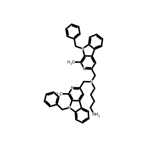 Cc1nc(CN(CCCCN)Cc2cc3c4ccccc4n(Cc4ccccc4)c3c(C)n2)cc2c3ccccc3n(Cc3ccccc3)c12